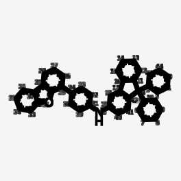 c1ccc(C2(c3ccccc3)c3ccccc3-c3cc(Nc4ccc(-c5cccc6c5oc5ccccc56)cc4)ccc32)cc1